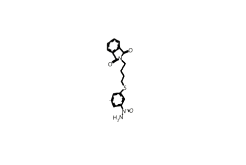 N[N+](=O)c1c[c]cc(SCCCCN2C(=O)c3ccccc3C2=O)c1